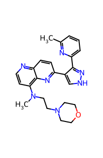 Cc1cccc(-c2n[nH]cc2-c2ccc3nccc(N(C)CCN4CCOCC4)c3n2)n1